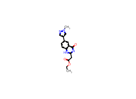 CCOC(=O)Cc1nc(=O)c2cc(-c3cnn(C)c3)ccc2[nH]1